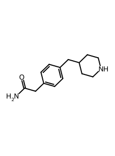 NC(=O)Cc1ccc(CC2CCNCC2)cc1